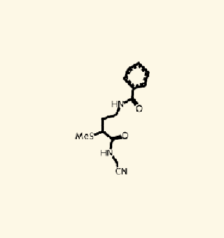 CSC(CCNC(=O)c1ccccc1)C(=O)NCC#N